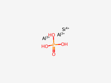 O=P(O)(O)O.[Al+3].[Al+3].[Si+4]